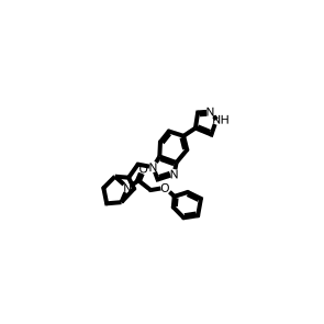 O=C(COc1ccccc1)N1C2CCC1C(Cn1cnc3cc(-c4cn[nH]c4)ccc31)C2